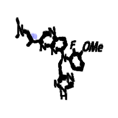 COc1cccc(N(Cc2nc[nH]n2)c2ccc3ncc(/C(C)=C/N(C)C)nc3n2)c1F